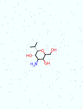 CC(C)[C@@H]1OC(CO)[C@@H](O)C(N)[C@@H]1O